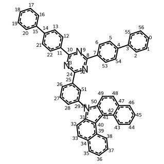 c1ccc(-c2ccc(-c3nc(-c4ccc(-c5ccccc5)cc4)nc(-c4cccc(-n5c6ccc7ccccc7c6c6c7ccccc7ccc65)c4)n3)cc2)cc1